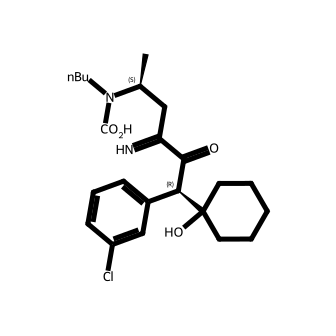 CCCCN(C(=O)O)[C@@H](C)CC(=N)C(=O)[C@H](c1cccc(Cl)c1)C1(O)CCCCC1